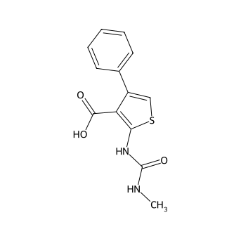 CNC(=O)Nc1scc(-c2ccccc2)c1C(=O)O